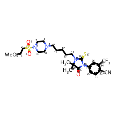 COCCS(=O)(=O)N1CCN(CCCCCN2C(=S)N(c3ccc(C#N)c(C(F)(F)F)c3)C(=O)C2(C)C)CC1